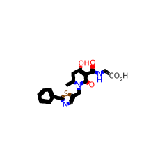 CC1CC(O)=C(C(=O)NCC(=O)O)C(=O)N1Cc1cnc(-c2ccccc2)s1